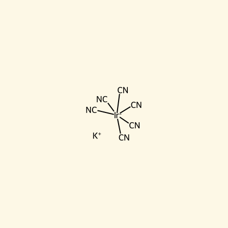 N#[C][Ir-]([C]#N)([C]#N)([C]#N)([C]#N)[C]#N.[K+]